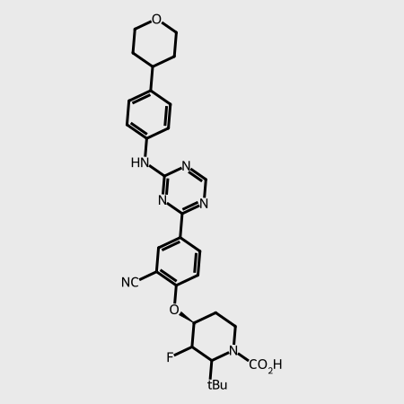 CC(C)(C)C1C(F)[C@@H](Oc2ccc(-c3ncnc(Nc4ccc(C5CCOCC5)cc4)n3)cc2C#N)CCN1C(=O)O